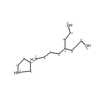 C1CCNC1.NCCCN(CCO)CCO